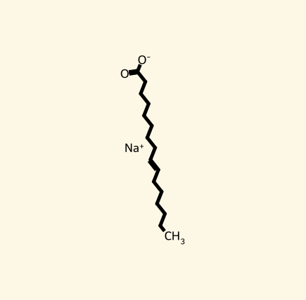 CCCCCCC=CCCCCCCCC(=O)[O-].[Na+]